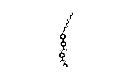 CCCCOCCOCCOc1ccc(-c2ccc(C(=O)Oc3ccc(C(C)OC(=O)CC)cc3)cc2)cc1